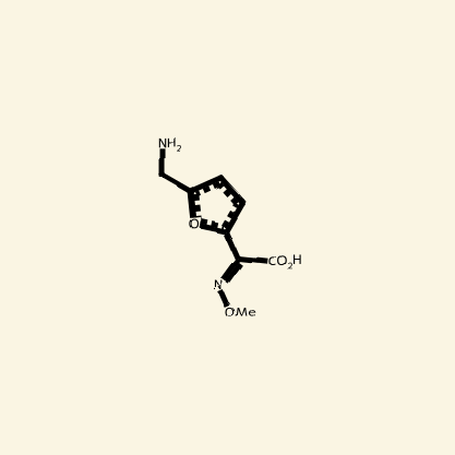 CO/N=C(\C(=O)O)c1ccc(CN)o1